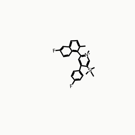 Cc1ccc2cc(F)ccc2c1-c1cc(-c2ccc(F)cc2)c([Si](C)(C)C)c[n+]1C